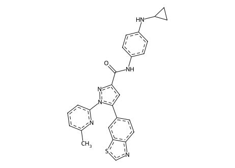 Cc1cccc(-n2nc(C(=O)Nc3ccc(NC4CC4)cc3)cc2-c2ccc3ncsc3c2)n1